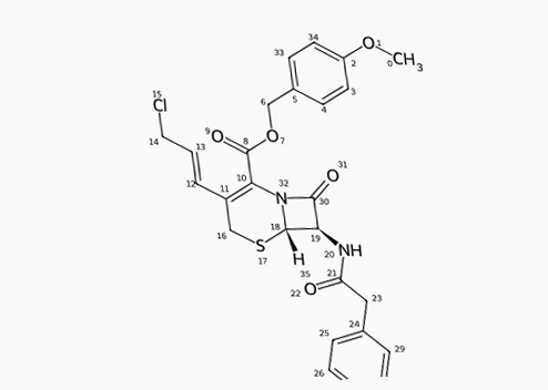 COc1ccc(COC(=O)C2=C(C=CCCl)CS[C@H]3[C@H](NC(=O)Cc4ccccc4)C(=O)N23)cc1